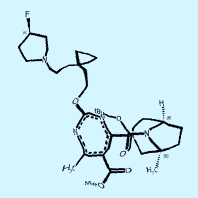 COC(=O)c1c(C)nc(OCC2(CN3CC[C@@H](F)C3)CC2)nc1N1C[C@H]2CC[C@@](C)(C1)N2C(=O)OC(C)(C)C